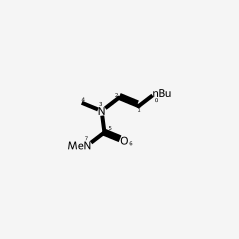 CCCCC=CN(C)C(=O)NC